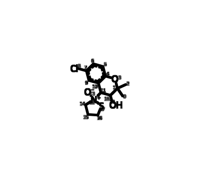 CC1(C)Oc2ccc(Cl)cc2C([N+]2([O-])CCCS2)C1O